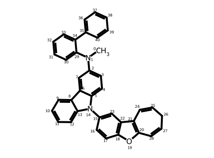 CN(c1ccc2c(c1)c1ccccc1n2-c1ccc2oc3c(c2c1)C=CCC=C3)c1ccccc1-c1ccccc1